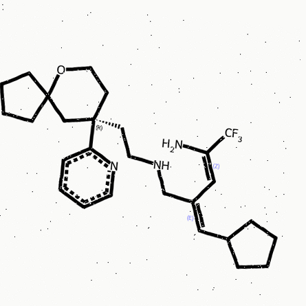 N/C(=C\C(=C/C1CCCC1)CNCC[C@@]1(c2ccccn2)CCOC2(CCCC2)C1)C(F)(F)F